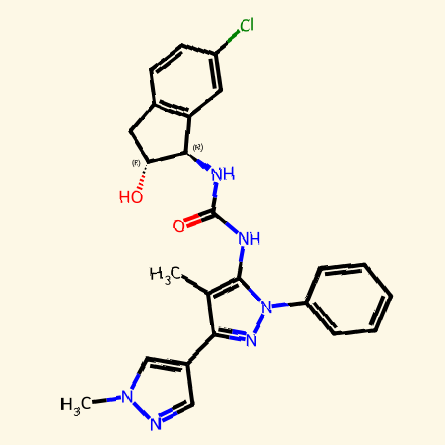 Cc1c(-c2cnn(C)c2)nn(-c2ccccc2)c1NC(=O)N[C@@H]1c2cc(Cl)ccc2C[C@H]1O